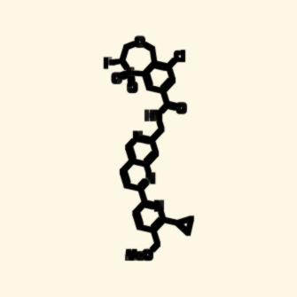 COCc1ccc(-c2ccc3cnc(CNC(=O)c4cc(Cl)c5c(c4)S(=O)(=O)[C@@H](F)COC5)cc3n2)nc1C1CC1